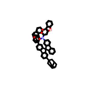 c1ccc(-c2ccccc2N(c2ccc3c(c2)C2(c4ccccc4-3)c3cc(C45CC6CC(CC(C6)C4)C5)ccc3-c3ccc(C45CC6CC(CC(C6)C4)C5)cc32)c2ccc3c(c2)oc2ccccc23)cc1